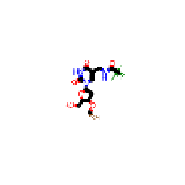 O=C(NCc1cn(C2CC(OCS)C(CO)O2)c(=O)[nH]c1=O)C(F)(F)F